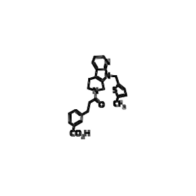 O=C(O)c1cccc(CCC(=O)N2CCc3c(n(Cc4ccc(C(F)(F)F)s4)c4ncccc34)C2)c1